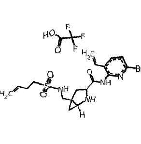 C=CCCS(=O)(=O)NC[C@@]12C[C@@H](C(=O)Nc3nc(Br)ccc3C=C)N[C@@H]1C2.O=C(O)C(F)(F)F